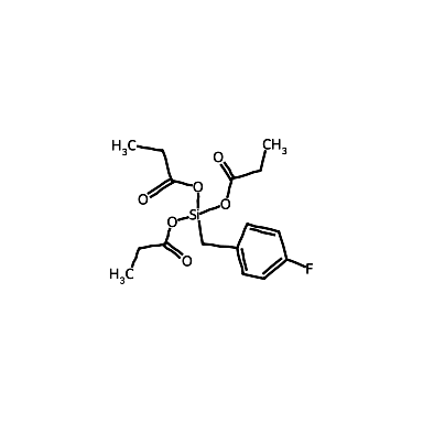 CCC(=O)O[Si](Cc1ccc(F)cc1)(OC(=O)CC)OC(=O)CC